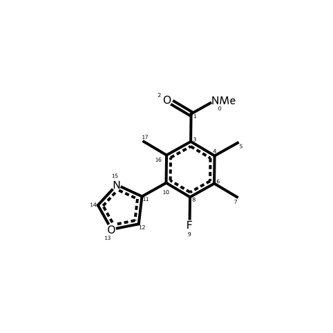 CNC(=O)c1c(C)c(C)c(F)c(-c2cocn2)c1C